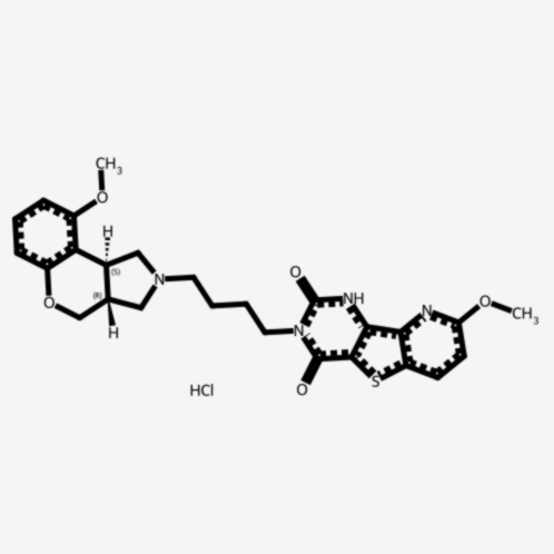 COc1ccc2sc3c(=O)n(CCCCN4C[C@@H]5COc6cccc(OC)c6[C@H]5C4)c(=O)[nH]c3c2n1.Cl